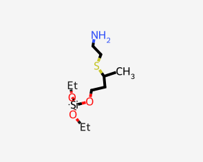 CCO[Si](OCC)OCCC(C)SCCN